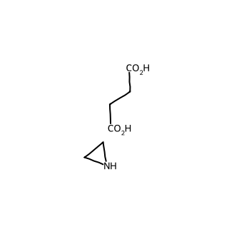 C1CN1.O=C(O)CCC(=O)O